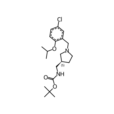 CC(C)Oc1ccc(Cl)cc1CN1CC[C@@H](CNC(=O)OC(C)(C)C)C1